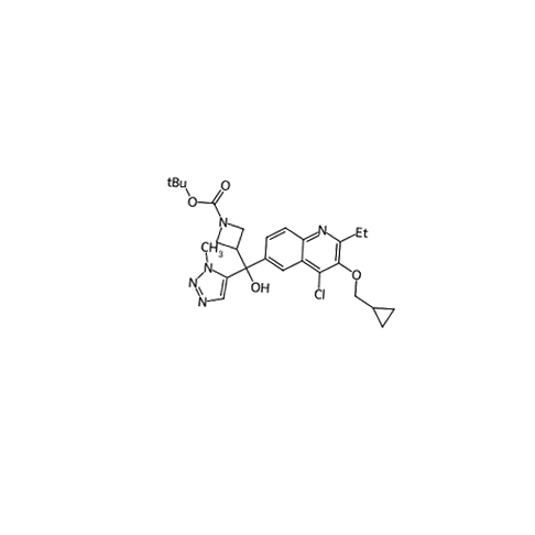 CCc1nc2ccc(C(O)(c3cnnn3C)C3CN(C(=O)OC(C)(C)C)C3)cc2c(Cl)c1OCC1CC1